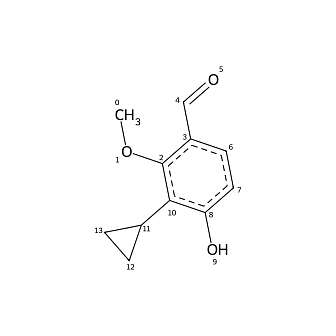 COc1c(C=O)ccc(O)c1C1CC1